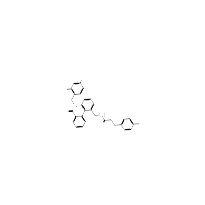 O=C(CCc1ccc(F)cc1)NCc1ccccc1-c1ccccc1C(=O)NCc1ccc(F)cc1F